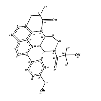 CN1Cc2cnc3ccc(-c4cnc(CO)nc4)nc3c2N(C2CCN(C(=O)C(C)(C)O)CC2)C1=O